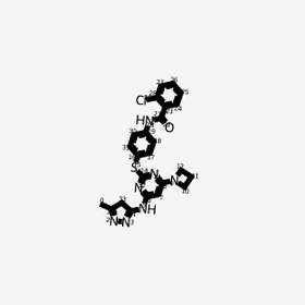 CC1=NN=C(Nc2cc(N3CCC3)nc(Sc3ccc(NC(=O)c4ccccc4Cl)cc3)n2)C1